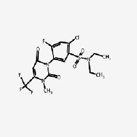 CCN(CC)S(=O)(=O)c1cc(-n2c(=O)cc(C(F)(F)F)n(C)c2=O)c(F)cc1Cl